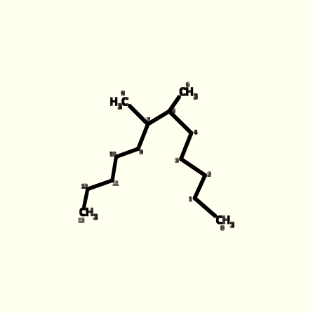 CCCCCC(C)C(C)CCCCC